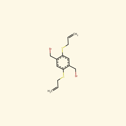 C=CCSc1cc(CBr)c(SCC=C)cc1CBr